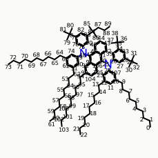 CCCCCCCCCCc1cc(CCCCCCCCCC)cc(N(c2cc(C(C)(C)C)cc(C(C)(C)C)c2)c2c3ccccc3c(N(c3cc(CCCCCCCCCC)cc(CCCCCCCCCC)c3)c3cc(C(C)(C)C)cc(C(C)(C)CCC)c3)c3cc(CCCCCCCCCC)ccc23)c1